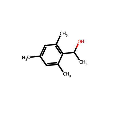 Cc1cc(C)c(C(C)O)c(C)c1